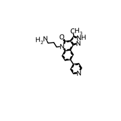 Cc1[nH]nc2c1c(=O)n(CCCN)c1ccc(-c3ccncc3)cc21